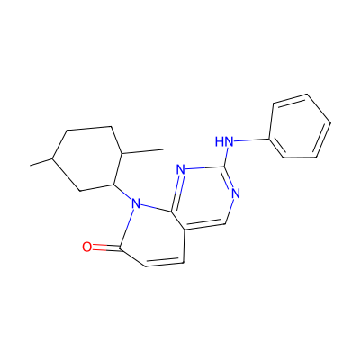 CC1CCC(C)C(n2c(=O)ccc3cnc(Nc4ccccc4)nc32)C1